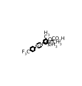 Cc1cc(N2CCN(c3ccc(C(F)(F)F)cc3)CC2)cc(C)c1OC(C)(C)C(=O)O